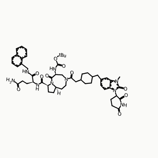 Cn1c(=O)n(C2CCC(=O)NC2=O)c2ccc(CC3CCC(CC(=O)N4CC[C@H]5CC[C@@H](C(=O)N[C@@H](CCC(N)=O)C(=O)NCc6cccc7ccccc67)N5C(=O)[C@@H](NC(=O)OC(C)(C)C)C4)CC3)cc21